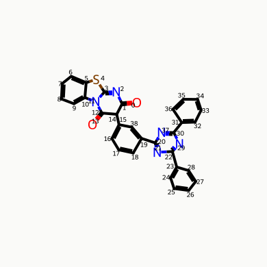 O=C1N=C2Sc3ccccc3N2C(=O)C1c1cccc(-c2nc(-c3ccccc3)nc(-c3ccccc3)n2)c1